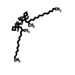 CCCCCCCCCCCCC(C)CC(F)(C(=O)OC(=O)C(F)(CC(C)CCCCCCCCCCCC)C1(O)CCC1)C1(O)CCC1